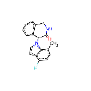 Cc1ccc(F)c2ccn(C3C(=O)NCc4ccccc43)c12